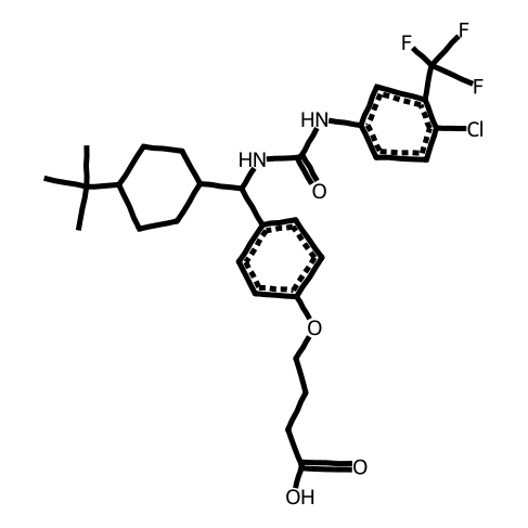 CC(C)(C)C1CCC(C(NC(=O)Nc2ccc(Cl)c(C(F)(F)F)c2)c2ccc(OCCCC(=O)O)cc2)CC1